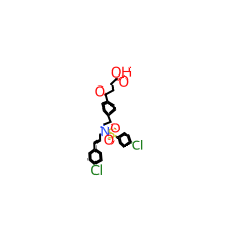 O=C(O)CCC(=O)c1ccc(CCN(C/C=C/c2ccc(Cl)cc2)S(=O)(=O)c2ccc(Cl)cc2)cc1